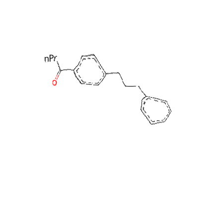 CCCC(=O)c1ccc(CCCc2ccccc2)cc1